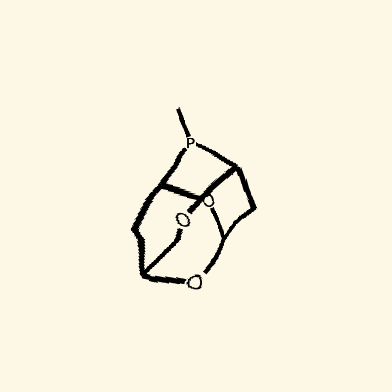 CP1C2CC3OC(CC1O3)O2